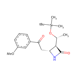 COc1cccc(C(=O)C[C@H]2NC(=O)[C@@H]2[C@@H](C)O[Si](C)(C)C(C)(C)C)c1